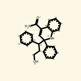 NC(=O)C1=CC(c2ccccc2)(C(CCO)c2ccccc2)Nc2ccccc21